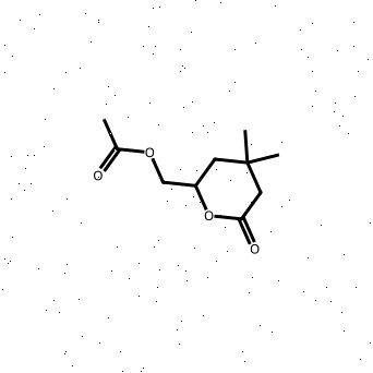 CC(=O)OCC1CC(C)(C)CC(=O)O1